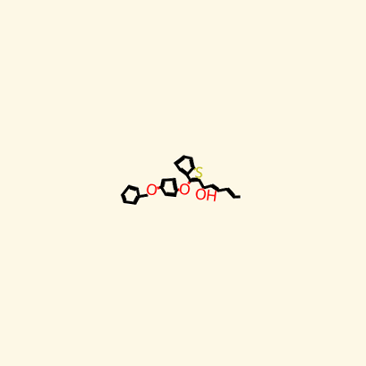 CC=CC=CC(O)c1sc2ccccc2c1Oc1ccc(OCc2ccccc2)cc1